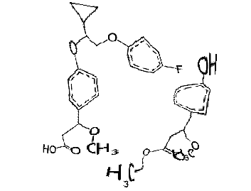 CCOC(=O)CC(OC)c1ccc(O)cc1.COC(CC(=O)O)c1ccc(OC(COc2ccc(F)cc2)C2CC2)cc1